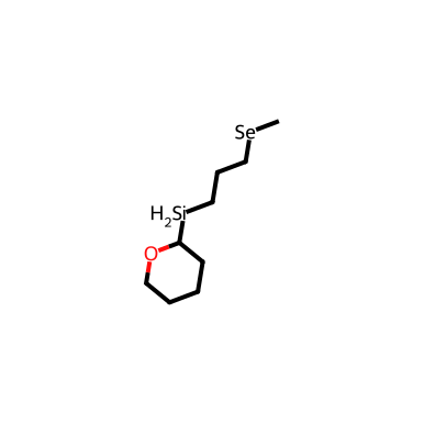 C[Se]CCC[SiH2]C1CCCCO1